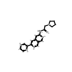 O=C(CN1CCCC1)Nc1cc2cc(-c3cnccn3)ncc2cn1